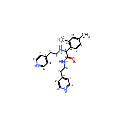 Cc1ccc(C(NCCc2ccncc2)C(=O)NCCc2ccncc2)c(C)c1